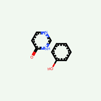 O=c1ccnc[nH]1.Oc1ccccc1